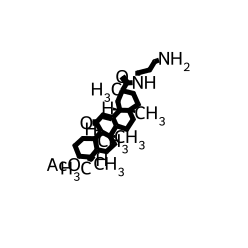 CC(=O)O[C@H]1CC[C@]2(C)[C@H]3C(=O)C=C4C(CC[C@@]5(C)CC[C@](C)(C(=O)NCCCN)C[C@@H]45)[C@]3(C)CC[C@H]2C1(C)C